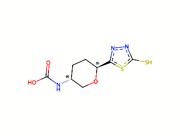 O=C(O)N[C@@H]1CC[C@@H](c2nnc(S)s2)OC1